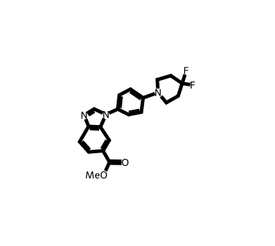 COC(=O)c1ccc2ncn(-c3ccc(N4CCC(F)(F)CC4)cc3)c2c1